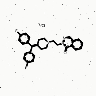 Cl.O=c1c2ccccc2cnn1CCN1CCC(=C(c2ccc(F)cc2)c2ccc(F)cc2)CC1